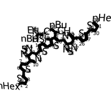 CCCCCCc1ccc(-c2ccc(-c3cnc(-c4cc5c(s4)-c4sc(-c6ncc(-c7ccc(-c8ccc(CCCCCC)s8)s7)c7nsnc67)c(C(C)C(C)CCCC)c4[Si@@H]5CC(CC)CCCC)c4nsnc34)s2)s1